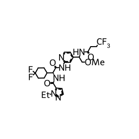 CCn1nccc1C(=O)N[C@H](C(=O)Nc1cc(C(COC)NC(=O)CCC(F)(F)F)ccn1)C1CCC(F)(F)CC1